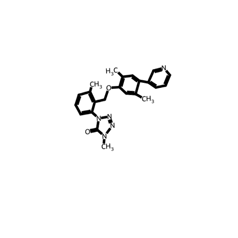 Cc1cc(-c2cccnc2)c(C)cc1OCc1c(C)cccc1-n1nnn(C)c1=O